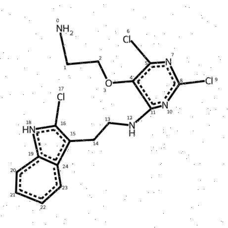 NCCOc1c(Cl)nc(Cl)nc1NCCc1c(Cl)[nH]c2ccccc12